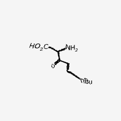 CCCC/C=C/C(=O)C(N)C(=O)O